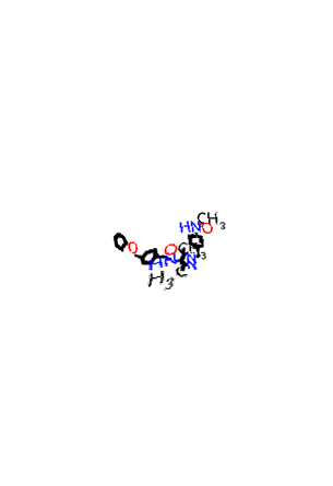 CC(=O)Nc1ccc(Cn2nc(C)c(NC(=O)c3ccc(COc4ccccc4)cc3)c2C)cc1